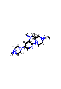 CC(C)N1CCN2c3ncc(N4CCN(C)CC4)cc3N(C)C[C@@H]2C1